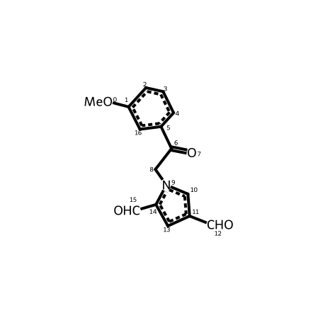 COc1cccc(C(=O)Cn2cc(C=O)cc2C=O)c1